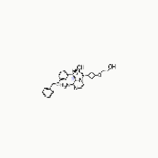 C#C/C(=C1/C(N)=NC=CN1C(=C)C1CC(OCCO)C1)c1cccc(OCc2ccccc2)c1